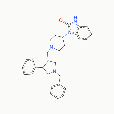 O=c1[nH]c2ccccc2n1C1CCN(CC2CN(Cc3ccccc3)CC2c2ccccc2)CC1